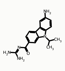 CC(C)n1c2ccc(N)cc2c2ccc(C(=O)N=C(N)N)cc21